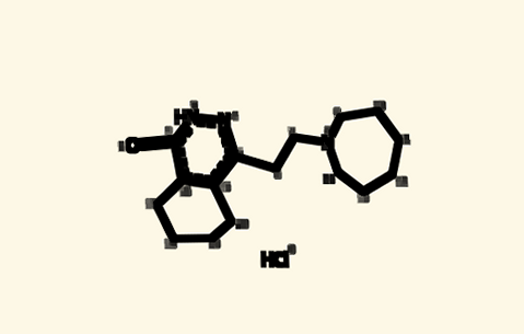 Cl.O=c1[nH]nc(CCN2CCCCCC2)c2c1CCCC2